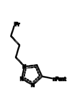 CCCCCc1cn(CCCC(C)C)nn1